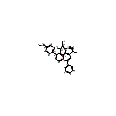 C=C(C)c1cc(-c2ccccc2)ccc1C1(N)C(C)C1(C)c1ccccc1-c1ccc(SC)cn1